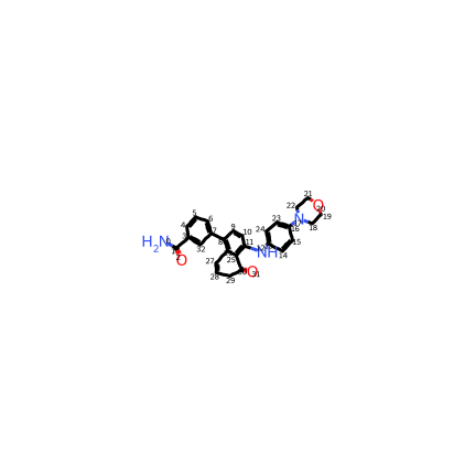 NC(=O)c1cccc(-c2ccc(Nc3ccc(N4CCOCC4)cc3)c3c2C=CCC3=O)c1